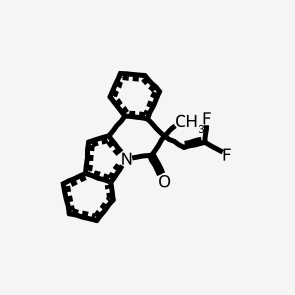 CC1(C=C(F)F)C(=O)n2c(cc3ccccc32)-c2ccccc21